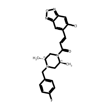 C[C@@H]1CN(C(=O)C=Cc2cc3nonc3cc2Cl)[C@@H](C)CN1Cc1ccc(F)cc1